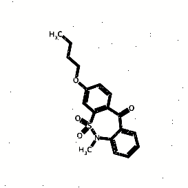 CCCCOc1ccc2c(c1)S(=O)(=O)N(C)c1ccccc1C2=O